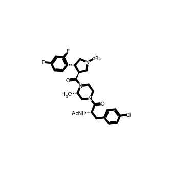 CC(=O)N[C@@H](Cc1ccc(Cl)cc1)C(=O)N1CCN(C(=O)[C@@H]2CN(C(C)(C)C)C[C@H]2c2ccc(F)cc2F)[C@@H](C)C1